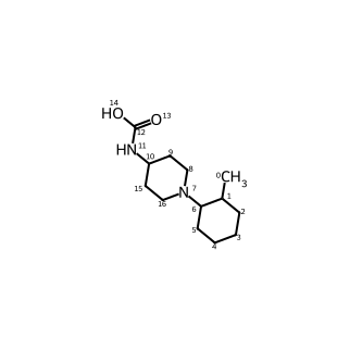 CC1CCCCC1N1CCC(NC(=O)O)CC1